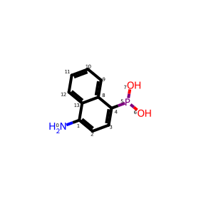 Nc1ccc(P(O)O)c2ccccc12